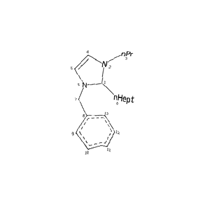 CCCCCCCC1N(CCC)C=CN1Cc1ccccc1